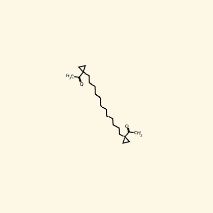 CC(=O)C1(CCCCCCCCCCCCC2(C(C)=O)CC2)CC1